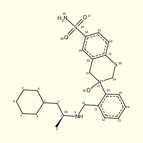 C[C@@H](CC1CCCCC1)NCc1ccccc1[N+]1([O-])CSc2ccc(S(N)(=O)=O)cc2C1